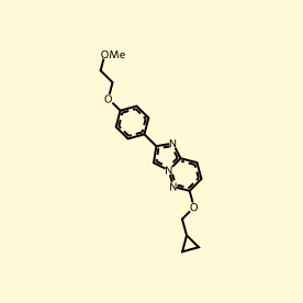 COCCOc1ccc(-c2cn3nc(OCC4CC4)ccc3n2)cc1